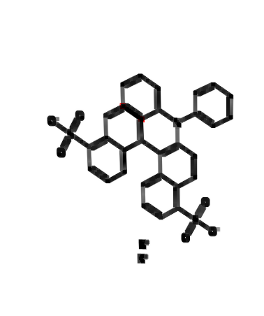 O=S(=O)([O-])c1cccc2c(-c3c(N(c4ccccc4)c4ccccc4)ccc4c(S(=O)(=O)[O-])cccc34)cccc12.[K+].[K+]